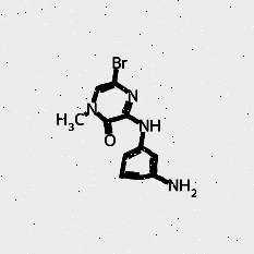 Cn1cc(Br)nc(Nc2cccc(N)c2)c1=O